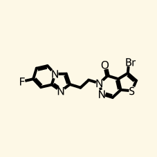 O=c1c2c(Br)csc2cnn1CCc1cn2ccc(F)cc2n1